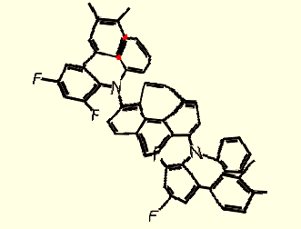 Cc1ccc(-c2cc(F)cc(F)c2N(c2ccccc2)c2ccc3ccc4c(N(c5ccccc5)c5c(F)cc(F)cc5-c5ccc(C)c(C)c5)ccc5ccc2c3c54)cc1C